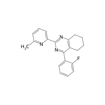 Cc1cccc(-c2nc3c(c(-c4ccccc4F)n2)CCCC3)n1